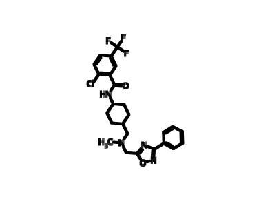 CN(Cc1nc(-c2ccccc2)no1)CC1CCC(NC(=O)c2cc(C(F)(F)F)ccc2Cl)CC1